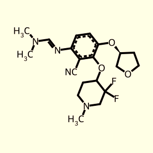 CN(C)/C=N/c1ccc(O[C@H]2CCOC2)c(OC2CCN(C)CC2(F)F)c1C#N